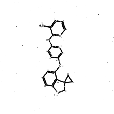 Nc1cccnc1Nc1ccc(Oc2cccc3c2C2(CC2)CO3)cn1